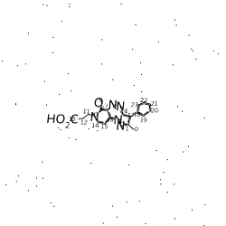 Cc1nn2c(nnc3c(=O)n(CCC(=O)O)ccc32)c1-c1ccccc1